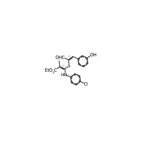 CCOC(=O)/C(C)=C(\Nc1ccc(Cl)cc1)S/C(C=O)=C\c1cccc(O)c1